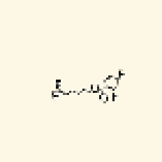 O=C(OCCCCC=C(F)F)c1ccc(F)cc1F